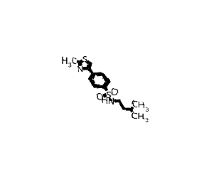 Cc1nc(-c2ccc(S(=O)(=O)NCCC(C)C)cc2)cs1